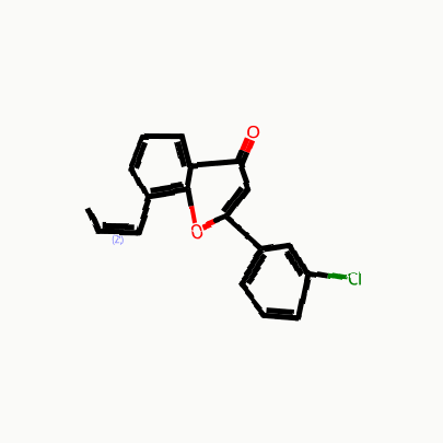 C/C=C\c1cccc2c(=O)cc(-c3cccc(Cl)c3)oc12